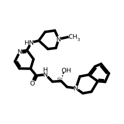 CN1CCC(NC2=NC=CC(C(=O)NC[C@H](O)CN3CCc4ccccc4C3)C2)CC1